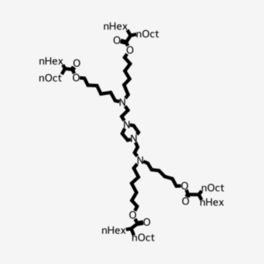 CCCCCCCCC(CCCCCC)C(=O)OCCCCCCN(CCCCCCOC(=O)C(CCCCCC)CCCCCCCC)CCN1CCN(CCN(CCCCCCOC(=O)C(CCCCCC)CCCCCCCC)CCCCCCOC(=O)C(CCCCCC)CCCCCCCC)CC1